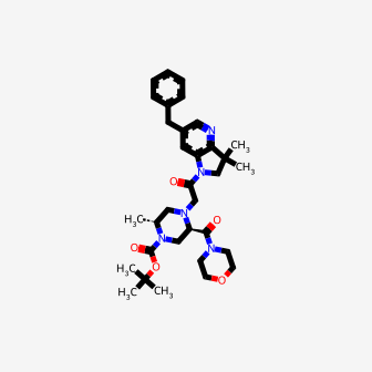 C[C@@H]1CN(CC(=O)N2CC(C)(C)c3ncc(Cc4ccccc4)cc32)[C@@H](C(=O)N2CCOCC2)CN1C(=O)OC(C)(C)C